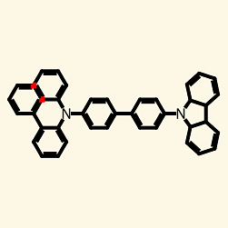 C1=CC2C3C=CC=CC3N(c3ccc(-c4ccc(N(c5ccccc5)c5ccccc5-c5ccccc5)cc4)cc3)C2C=C1